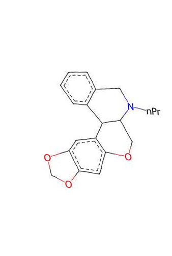 CCCN1Cc2ccccc2C2c3cc4c(cc3OCC21)OCO4